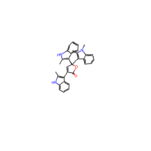 Cc1[nH]c2ccccc2c1C1=CC(c2c(C)[nH]c3ccccc23)(c2c(C)n(C)c3ccccc23)OC1=O